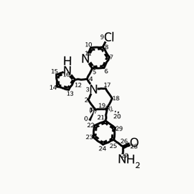 C[C@H]1CN(C(c2ccc(Cl)cn2)c2ccc[nH]2)CC[C@@]1(C)c1cccc(C(N)=O)c1